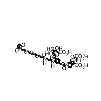 O=C(CCOCCOCCOCCN1C(=O)C=CC1=O)NCCC(=O)Nc1cc(COC(=O)N2CCc3c(sc(NC(=O)C(=O)O)c3C(=O)O)C2)ccc1O[C@@H]1O[C@H](C(=O)O)[C@@H](O)[C@H](O)[C@H]1O